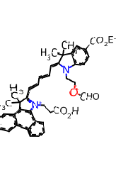 CCOC(=O)c1ccc2c(c1)C(C)(C)/C(=C/C=C/C=C/C1=[N+](CCC(=O)O)c3c(c4ccccc4c4ccccc34)C1(C)C)N2CCOC=O